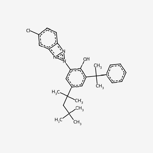 CC(C)(C)CC(C)(C)c1cc(-n2n3c4ccc(Cl)cc4n23)c(O)c(C(C)(C)c2ccccc2)c1